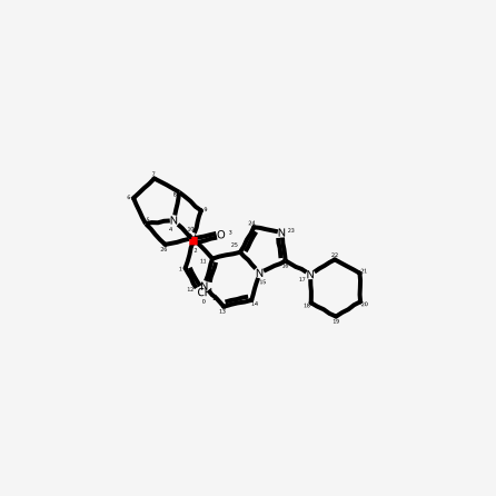 C=CC(=O)N1C2CCC1CN(c1nccn3c(N4CCCCC4)ncc13)C2